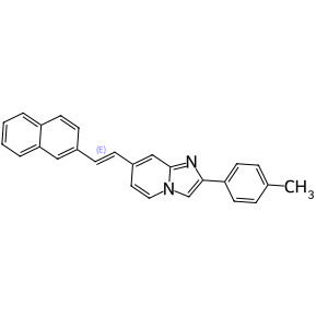 Cc1ccc(-c2cn3ccc(/C=C/c4ccc5ccccc5c4)cc3n2)cc1